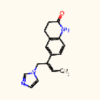 C/C=C(/Cn1ccnc1)c1ccc2c(c1)CCC(=O)N2